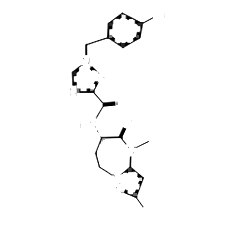 Cc1cc2n(n1)CC[C@@H](NC(=O)c1ncn(Cc3ccc(Cl)cc3)n1)C(=O)N2C